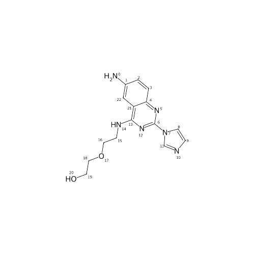 Nc1ccc2nc(-n3ccnc3)nc(NCCOCCO)c2c1